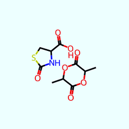 CC1OC(=O)C(C)OC1=O.O=C1NC(C(=O)O)CS1